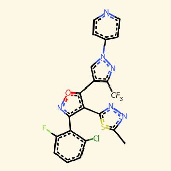 Cc1nnc(-c2c(-c3c(F)cccc3Cl)noc2-c2cn(-c3ccncc3)nc2C(F)(F)F)s1